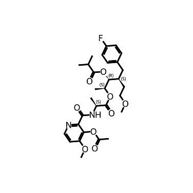 COCC[C@H](Cc1ccc(F)cc1)[C@@H](OC(=O)C(C)C)[C@H](C)OC(=O)[C@H](C)NC(=O)c1nccc(OC)c1OC(C)=O